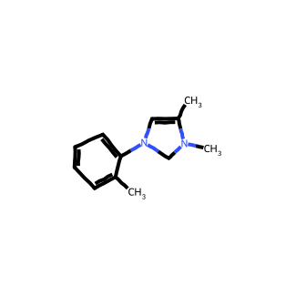 CC1=CN(c2ccccc2C)CN1C